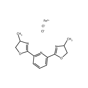 CC1COC(c2cccc(C3=NC(C)CO3)n2)=N1.[Cl-].[Cl-].[Fe+2]